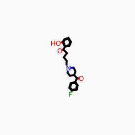 O=C(CCCCN1CCC(C(=O)c2ccc(F)cc2)CC1)c1ccccc1O